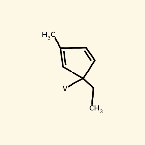 CC[C]1([V])C=CC(C)=C1